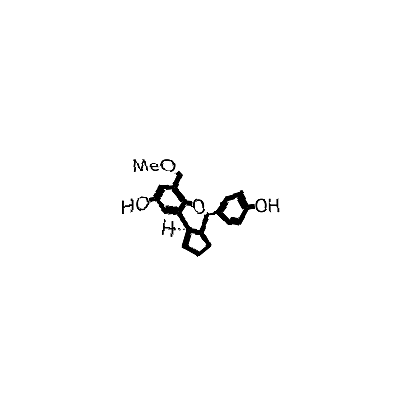 COCc1cc(O)cc2c1O[C@@H](c1ccc(O)cc1)C1CCC[C@@H]21